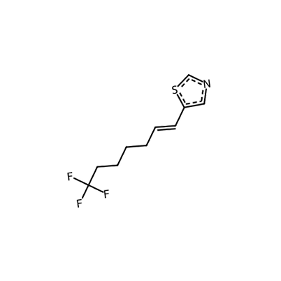 FC(F)(F)CCCCC=Cc1cncs1